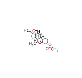 C#C[C@]1(O)CC[C@H]2[C@@H]3[C@H](C)C=C4C[C@@H](OC(C)=O)CC[C@]4(C=O)[C@H]3CC[C@@]21C